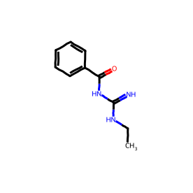 CCNC(=N)NC(=O)c1ccccc1